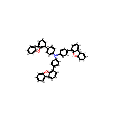 C1=CC2Oc3c(-c4ccc(N(c5ccc(-c6cccc7c6oc6ccccc67)cc5)c5ccc(-c6cccc7c6oc6ccccc67)cc5)cc4)cccc3C2C=C1